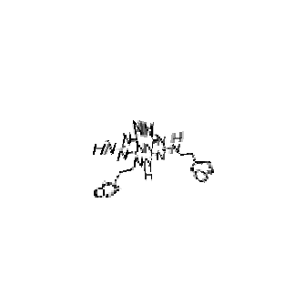 CNc1nc(NCCc2ccoc2)nc(NN(CCc2ccoc2)c2nc(N)nc(NC)n2)n1